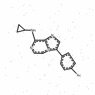 CC(=O)c1ccc(-c2cnc3c(NC4CC4)nccn23)cc1